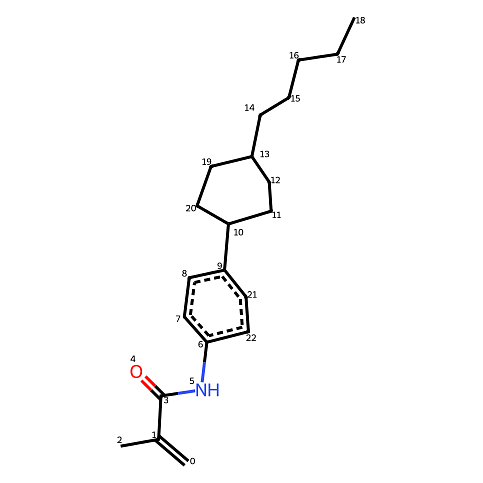 C=C(C)C(=O)Nc1ccc(C2CCC(CCCCC)CC2)cc1